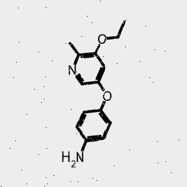 CCOc1cc(Oc2ccc(N)cc2)cnc1C